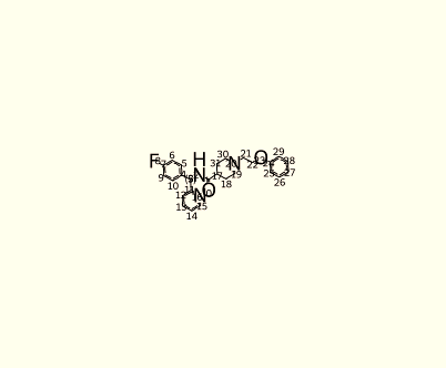 O=C(N[C@@H](c1ccc(F)cc1)c1ccccn1)C1CCN(CCOc2ccccc2)CC1